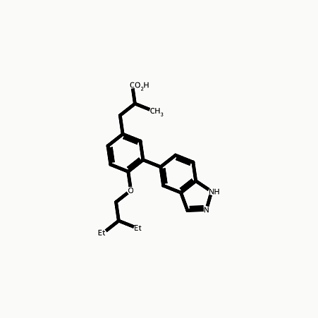 CCC(CC)COc1ccc(CC(C)C(=O)O)cc1-c1ccc2[nH]ncc2c1